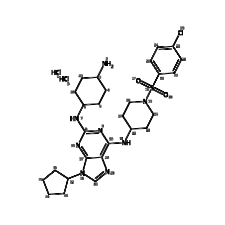 Cl.Cl.NC1CCC(Nc2nc(NC3CCN(S(=O)(=O)c4ccc(Cl)cc4)CC3)c3ncn(C4CCCC4)c3n2)CC1